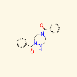 O=C(c1ccccc1)N1CCNN(C(=O)c2ccccc2)CC1